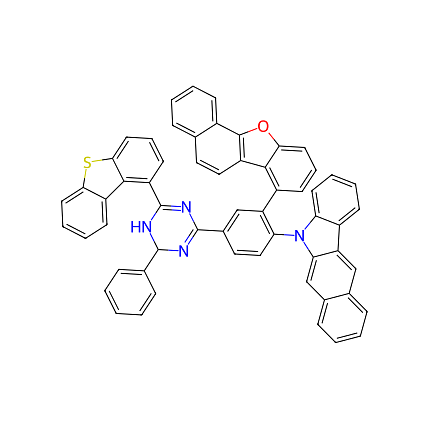 c1ccc(C2N=C(c3ccc(-n4c5ccccc5c5cc6ccccc6cc54)c(-c4cccc5oc6c7ccccc7ccc6c45)c3)N=C(c3cccc4sc5ccccc5c34)N2)cc1